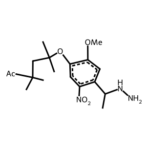 COc1cc(C(C)NN)c([N+](=O)[O-])cc1OC(C)(C)CC(C)(C)C(C)=O